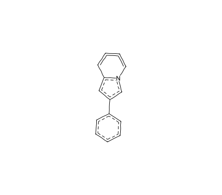 C1=C=Cn2cc(-c3ccccc3)cc2C=1